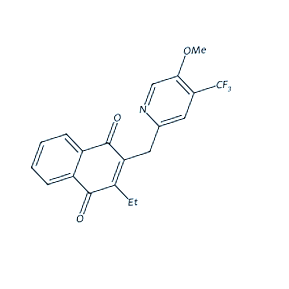 CCC1=C(Cc2cc(C(F)(F)F)c(OC)cn2)C(=O)c2ccccc2C1=O